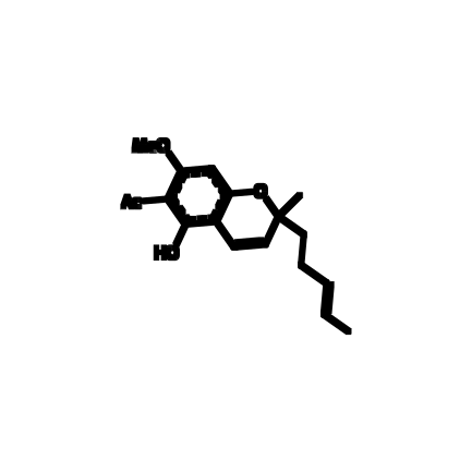 C/C=C/CCC1(C)C=Cc2c(cc(OC)c(C(C)=O)c2O)O1